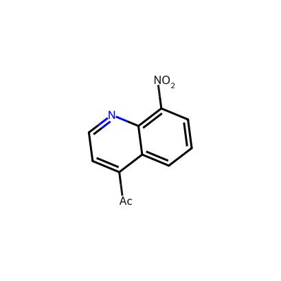 CC(=O)c1ccnc2c([N+](=O)[O-])cccc12